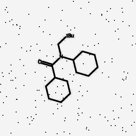 CC(C)(C)CN(C(=O)C1CCCCC1)C1CCCCC1